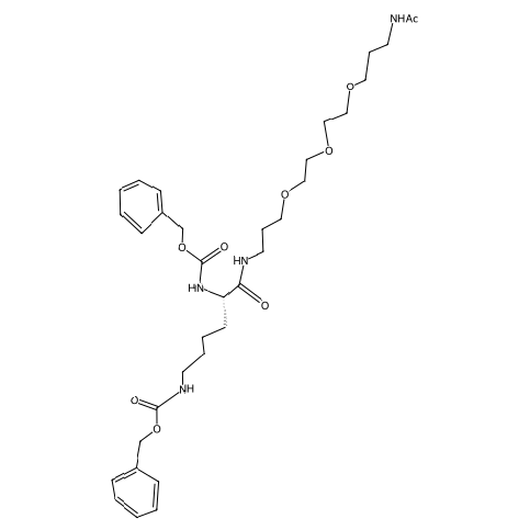 CC(=O)NCCCOCCOCCOCCCNC(=O)[C@H](CCCCNC(=O)OCc1ccccc1)NC(=O)OCc1ccccc1